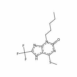 CCCCCn1c(=O)nc(SC)c2[nH]c(C(F)(F)F)nc21